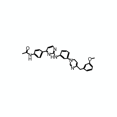 COc1cccc(CC2=CCN(c3cccc(Nc4nccc(-c5ccc(NC(C)=O)cc5)n4)c3)C=N2)c1